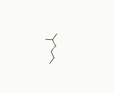 [CH2]C(C)SC[CH]C